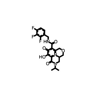 CC(C)N1CC2COCc3c(C(=O)NCc4ccc(F)c(F)c4F)c(=O)c(O)c(n32)C1=O